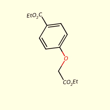 CCOC(=O)COc1ccc(C(=O)OCC)cc1